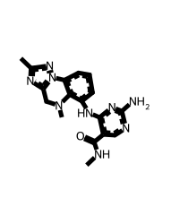 CNC(=O)c1cnc(N)nc1Nc1cccc2c1N(C)Cc1nc(C)nn1-2